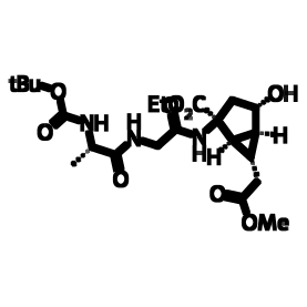 CCOC(=O)[C@]1(NC(=O)CNC(=O)[C@H](C)NC(=O)OC(C)(C)C)C[C@H](O)[C@H]2[C@H](CC(=O)OC)[C@H]21